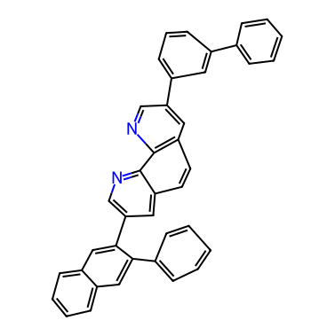 c1ccc(-c2cccc(-c3cnc4c(ccc5cc(-c6cc7ccccc7cc6-c6ccccc6)cnc54)c3)c2)cc1